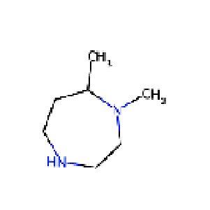 CC1CCNCCN1C